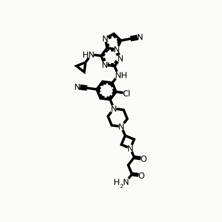 N#Cc1cc(Nc2nc(NC3CC3)c3ncc(C#N)n3n2)c(Cl)c(N2CCN(C3CN(C(=O)CC(N)=O)C3)CC2)c1